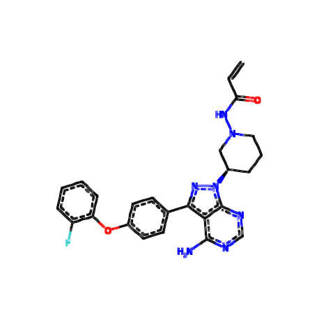 C=CC(=O)NN1CCC[C@@H](n2nc(-c3ccc(Oc4ccccc4F)cc3)c3c(N)ncnc32)C1